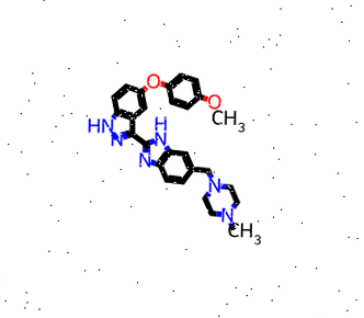 COc1ccc(Oc2ccc3[nH]nc(-c4nc5ccc(CN6CCN(C)CC6)cc5[nH]4)c3c2)cc1